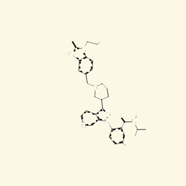 CC(C)N(C)C(=O)c1cc(F)ccc1-n1nc(C2CCCN(Cc3ccc4c(c3)[nH]c(=O)n4CCO)C2)c2ccncc21